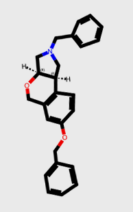 c1ccc(COc2ccc3c(c2)CO[C@H]2CN(Cc4ccccc4)C[C@@H]32)cc1